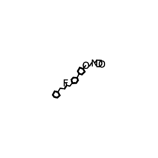 F/C(=C\Cc1ccccc1)Cc1ccc(-c2ccc(OCCN3CCOCC3)cc2)cc1